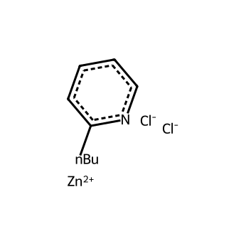 CCCCc1ccccn1.[Cl-].[Cl-].[Zn+2]